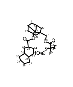 O=C(OC12CC3CC(CC(COC(=O)C(F)(F)SOO)(C3)C1)C2)C1CCC2CCCCC2C1